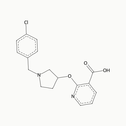 O=C(O)c1cccnc1OC1CCN(Cc2ccc(Cl)cc2)C1